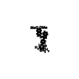 COc1cc2c(cc1OC)CN(Cc1c(-c3ccc(NC(=O)C(C)N(C)C)cc3)nc3ccccn13)CC2